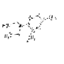 CCN(CC)c1[c]cc(C)cc1C